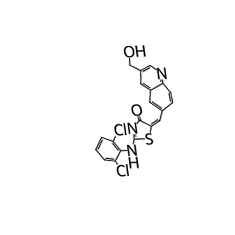 O=C1N=C(Nc2c(Cl)cccc2Cl)SC1=Cc1ccc2ncc(CO)cc2c1